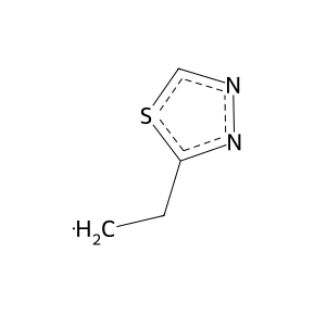 [CH2]Cc1nncs1